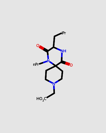 CCCN1C(=O)C(CC(C)C)NC(=O)C12CCN(CC(=O)O)CC2